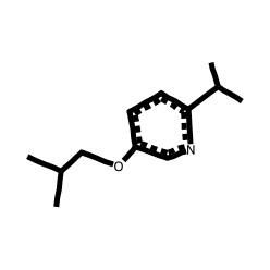 CC(C)COc1ccc(C(C)C)nc1